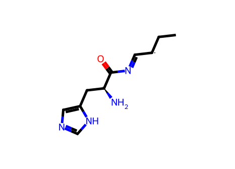 CC[CH]C=NC(=O)[C@@H](N)Cc1cnc[nH]1